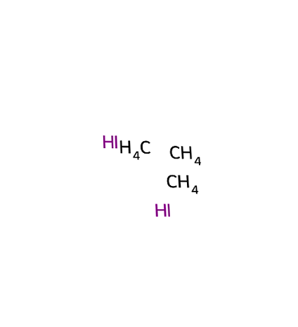 C.C.C.I.I